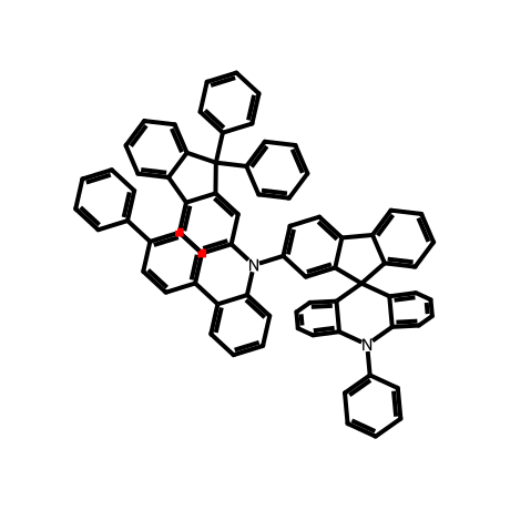 c1ccc(-c2ccc(-c3ccccc3N(c3ccc4c(c3)C(c3ccccc3)(c3ccccc3)c3ccccc3-4)c3ccc4c(c3)C3(c5ccccc5-4)c4ccccc4N(c4ccccc4)c4ccccc43)cc2)cc1